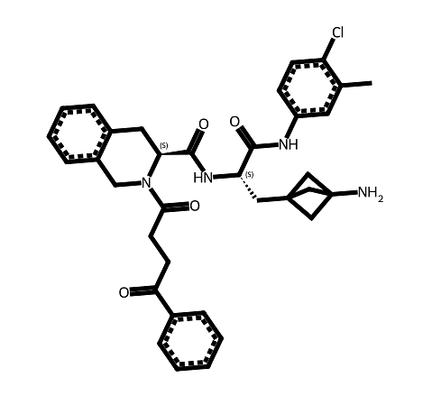 Cc1cc(NC(=O)[C@H](CC23CC(N)(C2)C3)NC(=O)[C@@H]2Cc3ccccc3CN2C(=O)CCC(=O)c2ccccc2)ccc1Cl